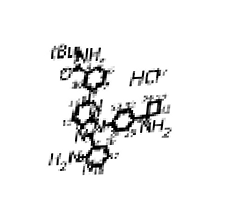 CC(C)(C)NC(=O)c1cccc(-c2ccc3nc(-c4cccnc4N)n(-c4ccc(C5(N)CCC5)cc4)c3n2)c1.Cl